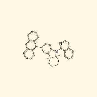 CC12CCCCC1(C)N(c1nccc3ccccc13)c1ccc(-c3c4ccccc4cc4ccccc34)cc12